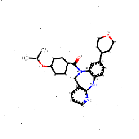 CC(C)OC1CCC(C(=O)N2Cc3cccnc3Nc3ccc(C4CCOCC4)cc32)CC1